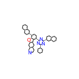 c1ccc(-c2nc(-c3ccc4ccccc4c3)nc(-c3ccc(-c4ccc5ccccc5c4)c4oc5cc6cnccc6cc5c34)n2)cc1